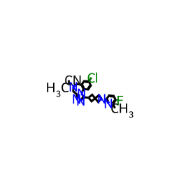 Cc1nc(N2CC3(CC(c4nnc5n4-c4ccc(Cl)cc4CN(C(C)C#N)C5)C3)C2)ccc1F